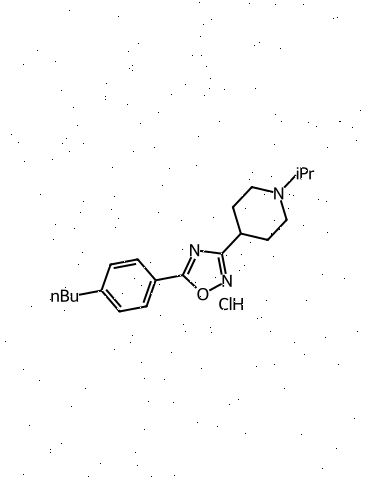 CCCCc1ccc(-c2nc(C3CCN(C(C)C)CC3)no2)cc1.Cl